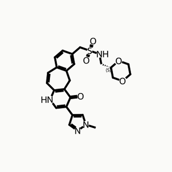 Cn1cc(-c2c[nH]c3c(c2=O)Cc2cc(CS(=O)(=O)NC[C@H]4COCCO4)ccc2C=C3)cn1